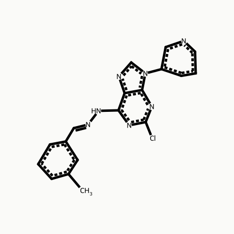 Cc1cccc(C=NNc2nc(Cl)nc3c2ncn3-c2cccnc2)c1